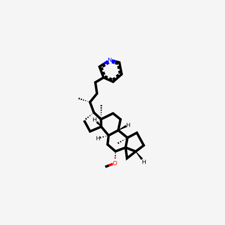 CO[C@@H]1C[C@H]2[C@@H]3CC[C@H]([C@H](C)CCc4cccnc4)[C@@]3(C)CC[C@@H]2[C@@]2(C)CC[C@@H]3CC312